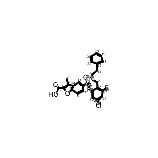 Cc1c(C(=O)O)oc2ccc(S(=O)(=O)N(CCc3ccccc3)Cc3c(F)cc(Cl)cc3F)cc12